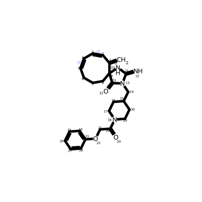 C=C1/C=C\C=C/CCCC12NC(=N)N(CC1CCN(C(=O)COc3ccccc3)CC1)C2=O